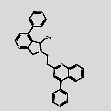 O=CC1c2c(-c3ccncc3)ccnc2CN1CCc1cc(-c2ccncc2)c2ccccc2n1